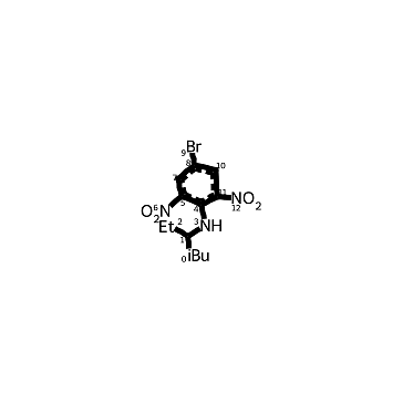 CCC(C)C(CC)Nc1c([N+](=O)[O-])cc(Br)cc1[N+](=O)[O-]